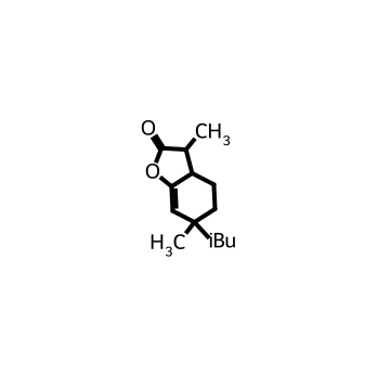 CCC(C)C1(C)C=C2OC(=O)C(C)C2CC1